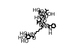 CC(C)[C@@H](NC(=O)[C@H](CC(=O)O)NC(=O)[C@H](NC(=O)[C@H](Cc1c[nH]c2ccccc12)NC(=O)CCCCCNC(=O)c1cc(O)c(O)c(O)c1)C(C)C)C(=O)O